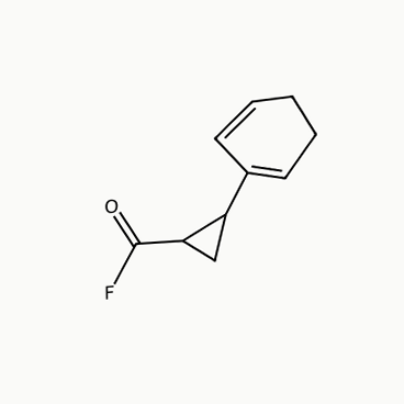 O=C(F)C1CC1C1=CCCC=C1